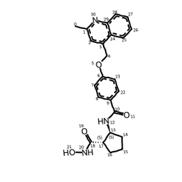 Cc1cc(COc2ccc(C(=O)N[C@H]3CCC[C@@H]3C(=O)NO)cc2)c2ccccc2n1